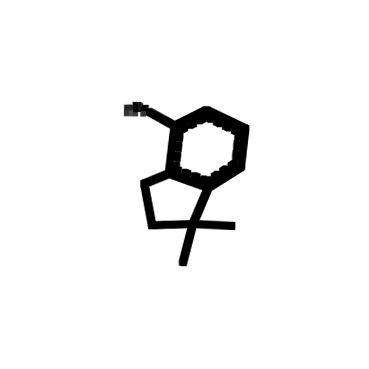 CCCc1cccc2c1CCC2(C)C